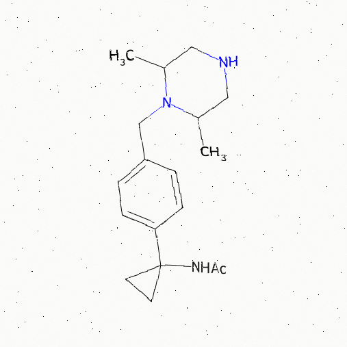 CC(=O)NC1(c2ccc(CN3C(C)CNCC3C)cc2)CC1